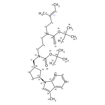 C/C=C(\C)CCN(CCCN(C[C@@H]1CC[C@H](n2cc(C)c3cncnc32)C1)C(=O)OC(C)(C)C)C(=O)OC(C)(C)C